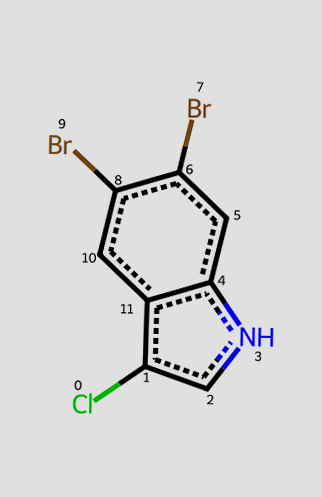 Clc1c[nH]c2cc(Br)c(Br)cc12